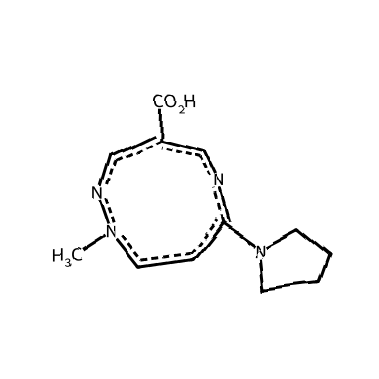 Cn1ccc(N2CCCC2)ncc(C(=O)O)cn1